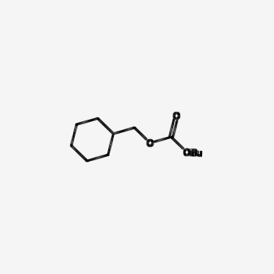 CC(C)COC(=O)OCC1CCCCC1